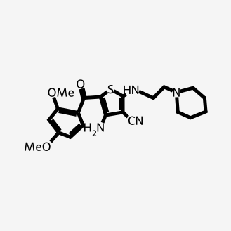 COc1ccc(C(=O)c2sc(NCCN3CCCCC3)c(C#N)c2N)c(OC)c1